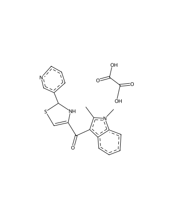 Cc1c(C(=O)C2=CSC(c3cccnc3)N2)c2ccccc2n1C.O=C(O)C(=O)O